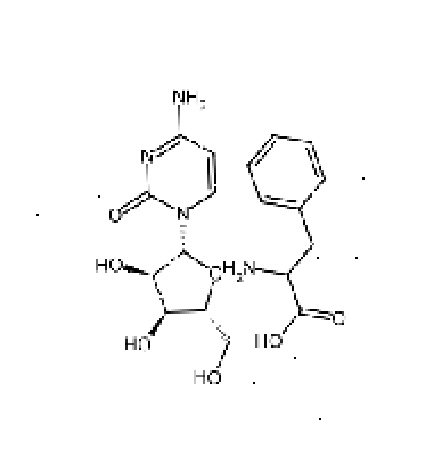 NC(Cc1ccccc1)C(=O)O.Nc1ccn([C@@H]2O[C@H](CO)[C@@H](O)[C@H]2O)c(=O)n1